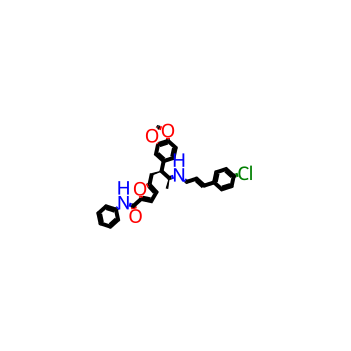 C[C@H](NC/C=C/c1ccc(Cl)cc1)[C@@H](Cc1ccc(C(=O)Nc2ccccc2)o1)c1ccc2c(c1)OCO2